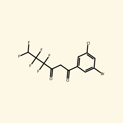 O=C(CC(=O)C(F)(F)C(F)(F)C(F)F)c1cc(Cl)cc(Br)c1